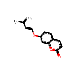 C=C(C)/C=C/Oc1ccc2ccc(=O)oc2c1